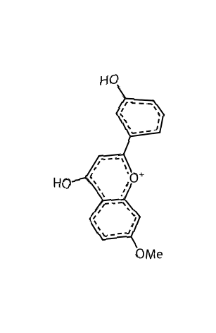 COc1ccc2c(O)cc(-c3cccc(O)c3)[o+]c2c1